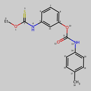 CCOC(=S)Nc1cccc(OC(=O)Nc2ccc(C)cc2)c1